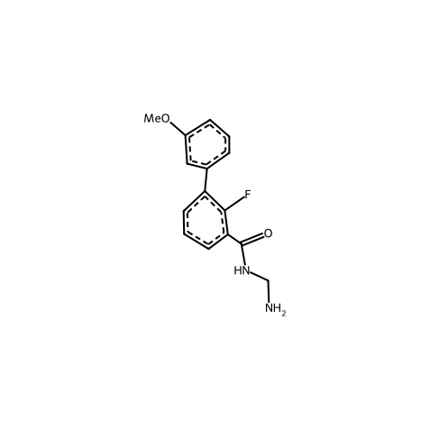 COc1cccc(-c2cccc(C(=O)NCN)c2F)c1